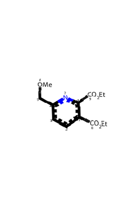 CCOC(=O)c1ccc(COC)nc1C(=O)OCC